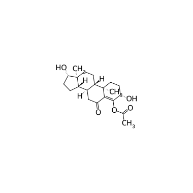 CC(=O)OC1=C2C(=O)C[C@H]3[C@@H]4CC[C@H](O)[C@@]4(C)CC[C@@H]3[C@@]2(C)CC[C@@H]1O